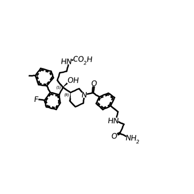 Cc1cccc(-c2c(F)cccc2[C@](O)(CCCNC(=O)O)[C@@H]2CCCN(C(=O)c3ccc(CNCC(N)=O)cc3)C2)c1